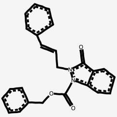 O=C(OCc1ccccc1)n1c2ccccc2c(=O)n1C/C=C/c1ccccc1